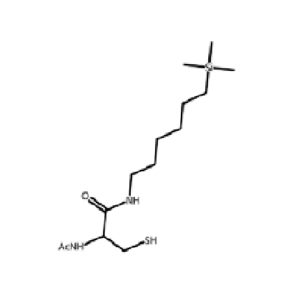 CC(=O)NC(CS)C(=O)NCCCCCC[Si](C)(C)C